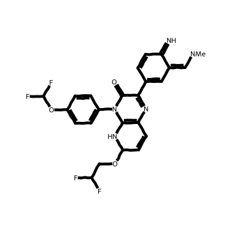 CN/C=C1/C=C(c2nc3c(n(-c4ccc(OC(F)F)cc4)c2=O)NC(OCC(F)F)C=C3)C=CC1=N